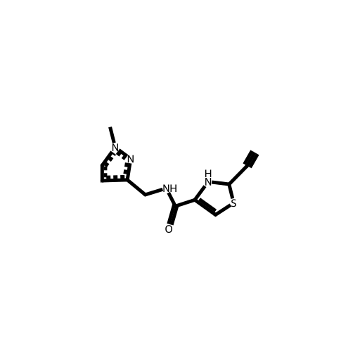 C#CC1NC(C(=O)NCc2ccn(C)n2)=CS1